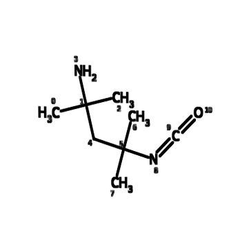 CC(C)(N)CC(C)(C)N=C=O